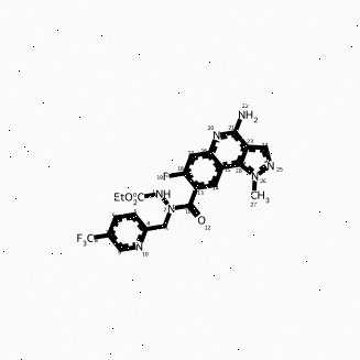 CCOC(=O)NN(Cc1ccc(C(F)(F)F)cn1)C(=O)c1cc2c(cc1F)nc(N)c1cnn(C)c12